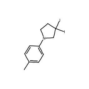 Cc1ccc(N2CCC(I)(I)C2)cc1